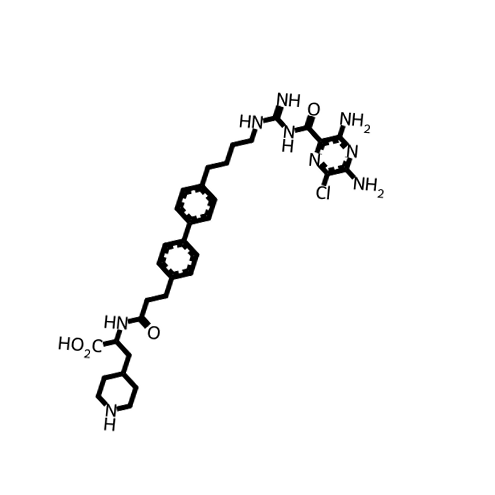 N=C(NCCCCc1ccc(-c2ccc(CCC(=O)NC(CC3CCNCC3)C(=O)O)cc2)cc1)NC(=O)c1nc(Cl)c(N)nc1N